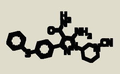 N#CN1CCCC(n2nc(-c3ccc(Sc4ccccc4)cc3)c(C(N)=O)c2N)C1